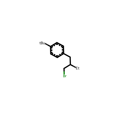 CCC(CBr)Cc1ccc(C(C)(C)C)cc1